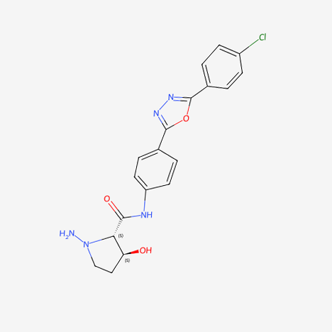 NN1CC[C@H](O)[C@H]1C(=O)Nc1ccc(-c2nnc(-c3ccc(Cl)cc3)o2)cc1